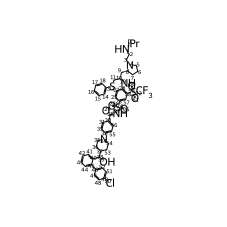 CC(C)NCCN1CCC[C@H]1C[C@H](CSc1ccccc1)Nc1ccc(S(=O)(=O)NC(=O)c2ccc(N3CCC([C@@H](O)c4ccccc4-c4ccc(Cl)cc4)CC3)cc2)cc1S(=O)(=O)C(F)(F)F